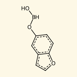 OBOc1ccc2occc2c1